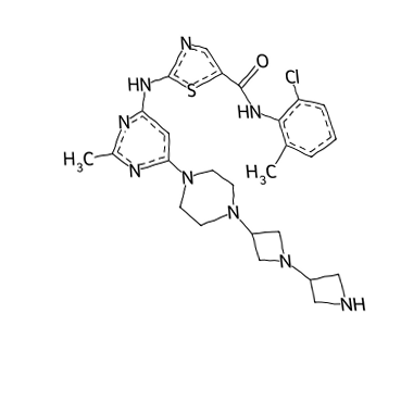 Cc1nc(Nc2ncc(C(=O)Nc3c(C)cccc3Cl)s2)cc(N2CCN(C3CN(C4CNC4)C3)CC2)n1